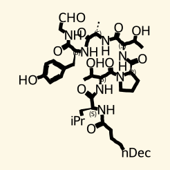 CCCCCCCCCCCCCC(=O)N[C@@H](CC(C)C)C(=O)N[C@H](C(=O)N1CCC[C@@H]1C(=O)N[C@H](C(=O)N[C@@H](C)C(=O)N[C@@H](Cc1ccc(O)cc1)C(=O)NCC=O)C(C)O)C(C)O